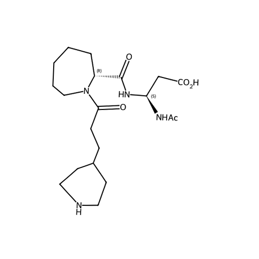 CC(=O)N[C@H](CC(=O)O)NC(=O)[C@H]1CCCCCN1C(=O)CCC1CCNCC1